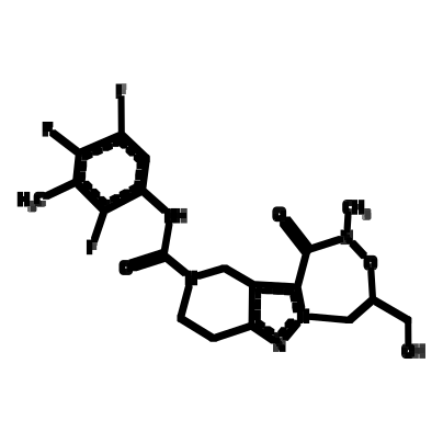 Cc1c(F)c(F)cc(NC(=O)N2CCc3nn4c(c3C2)C(=O)N(C)OC(CO)C4)c1F